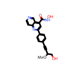 COC(C#Cc1ccc(-c2cc(C(=O)NO)c3cnccc3n2)cc1)CO